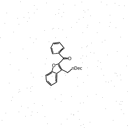 CCCCCCCCCCCc1c(C(=O)c2ccccc2)oc2ccccc12